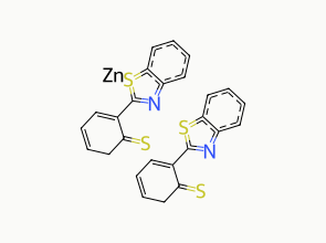 S=C1CC=CC=C1c1nc2ccccc2s1.S=C1CC=CC=C1c1nc2ccccc2s1.[Zn]